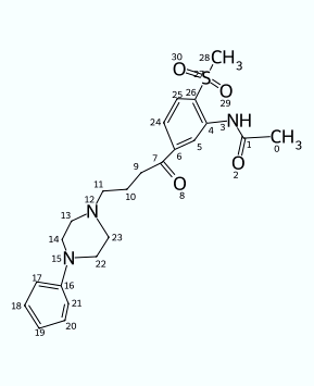 CC(=O)Nc1cc(C(=O)CCCN2CCN(c3ccccc3)CC2)ccc1S(C)(=O)=O